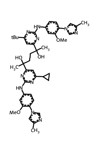 COc1cc(Nc2nc(C3CC3)cc(C(C)(O)CCC(C)(O)c3cc(C(C)(C)C)nc(Nc4ccc(-n5cnc(C)c5)c(OC)c4)n3)n2)ccc1-n1cnc(C)c1